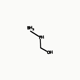 B.CPCO